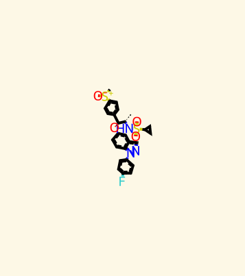 C[C@H](NS(=O)(=O)C1CC1)[C@H](Oc1ccc2c(cnn2-c2ccc(F)cc2)c1)c1ccc([S+](C)[O-])cc1